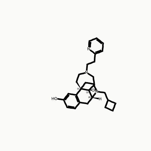 Oc1ccc2c(c1)[C@@]13CCN(CCc4ccccn4)CC[C@@]1(O)[C@@H](C2)N(CC1CCC1)CC3